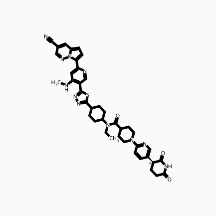 CCN(C(=O)C1CCN(c2ccc([C@@H]3CCC(=O)NC3=O)cn2)CC1)C1CCC(c2nnc(-c3cnc(-c4ccc5cc(C#N)cnn45)cc3NC)s2)CC1